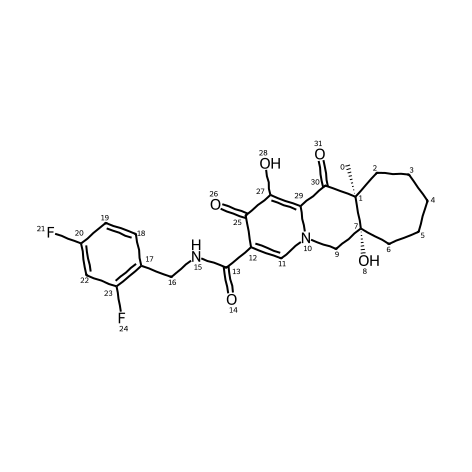 C[C@]12CCCCC[C@@]1(O)Cn1cc(C(=O)NCc3ccc(F)cc3F)c(=O)c(O)c1C2=O